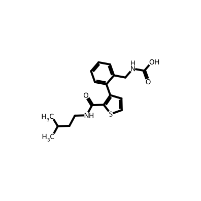 CC(C)CCNC(=O)c1sccc1-c1ccccc1CNC(=O)O